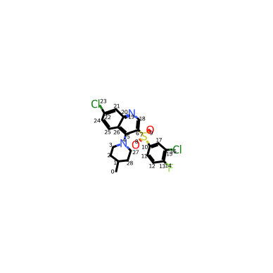 CC1CCN(c2c(S(=O)(=O)c3ccc(F)c(Cl)c3)cnc3cc(Cl)ccc23)CC1